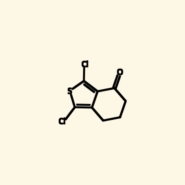 O=C1CCCc2c(Cl)sc(Cl)c21